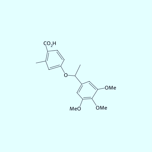 COc1cc(C(C)Oc2ccc(C(=O)O)c(C)c2)cc(OC)c1OC